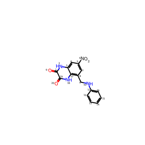 O=c1[nH]c2cc([N+](=O)[O-])cc(CNc3[c]cccc3)c2[nH]c1=O